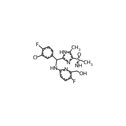 Cc1[nH]c(C(Nc2ccc(F)c(CO)n2)c2ccc(F)c(Cl)c2)nc1S(C)(=N)=O